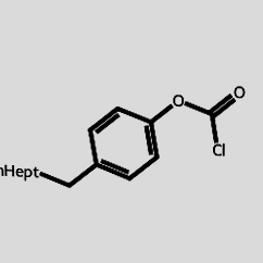 CCCCCCCCc1ccc(OC(=O)Cl)cc1